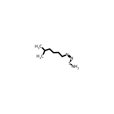 CC(C)CCCC/N=N\SN